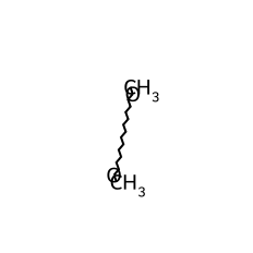 COCCCCCCCCCCCCOC